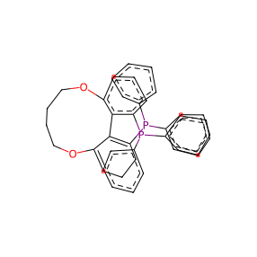 C1=C2OCCCCOc3cccc(P(c4ccccc4)c4ccccc4)c3C2=C(P(c2ccccc2)c2ccccc2)CC1